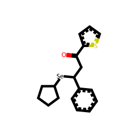 O=C(CC([Se]C1CCCC1)c1ccccc1)c1cccs1